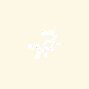 COCC(C)(C)CC(C)(C)C(N)=O